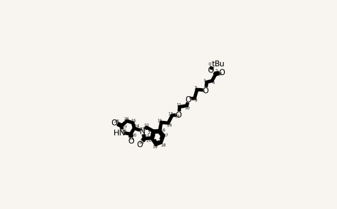 CC(C)(C)OC(=O)CCOCCOCCOCCCc1cccc2c1CN(C1CCC(=O)NC1=O)C2=O